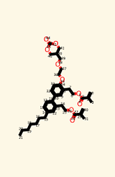 C=C(C)C(=O)OCCc1cc(-c2ccc(CCCCCCC)cc2CCOC(=O)C(=C)C)ccc1OCCOCC1COC(=O)OC1